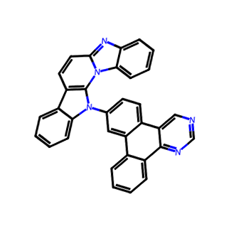 c1ccc2c(c1)nc1ccc3c4ccccc4n(-c4ccc5c(c4)c4ccccc4c4ncncc54)c3n12